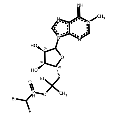 CCC(CC)[PH](=O)OC(C)(CC)C[C@H]1OC(n2cnc3c(=N)n(C)cnc32)[C@H](O)[C@@H]1O